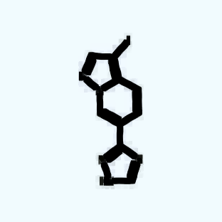 Ic1cnn2cc(-c3nc[nH]n3)ccc12